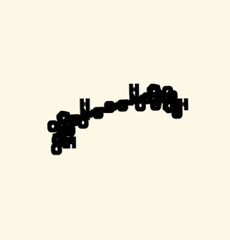 O=C(COc1cccc2c1C(=O)N(C1CCC(=O)NC1=O)C2=O)NCCOCCOCCOCCNC(=O)COc1cccc2c1C(=O)N(C1CCC(=O)NC1=O)C2=O